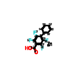 O=C(O)c1c(F)c(F)c(-c2ccccc2)c(F)c1F.[Zn]